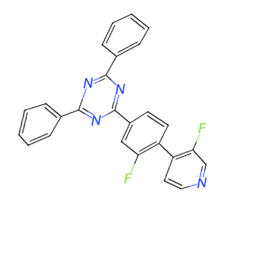 Fc1cnccc1-c1ccc(-c2nc(-c3ccccc3)nc(-c3ccccc3)n2)cc1F